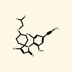 CC#Cc1cc(Br)c(N2C(=O)C=C(O)C23CCC(OCC(F)F)CC3)c(OC)c1